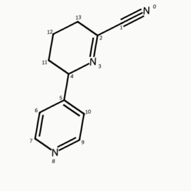 N#CC1=NC(c2ccncc2)CCC1